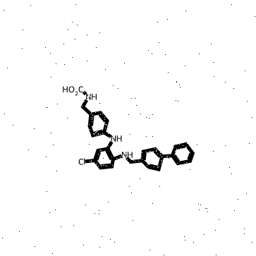 O=C(O)NCc1ccc(Nc2cc(Cl)ccc2NCc2ccc(-c3ccccc3)cc2)cc1